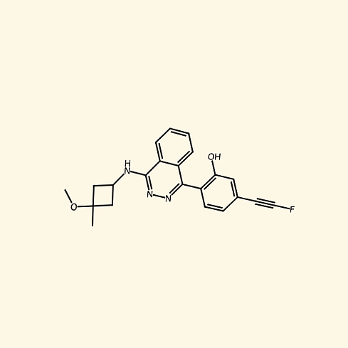 COC1(C)CC(Nc2nnc(-c3ccc(C#CF)cc3O)c3ccccc23)C1